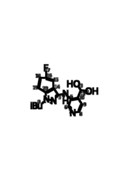 CCC(C)n1nc(Nc2cnccc2C(O)O)c2cc(F)ccc21